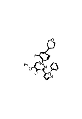 O=c1c(OCF)cn(-c2ccc(C3CCOCC3)cc2F)nc1-c1ccnn1-c1ccccc1